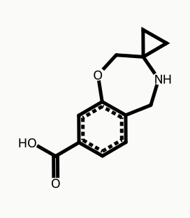 O=C(O)c1ccc2c(c1)OCC1(CC1)NC2